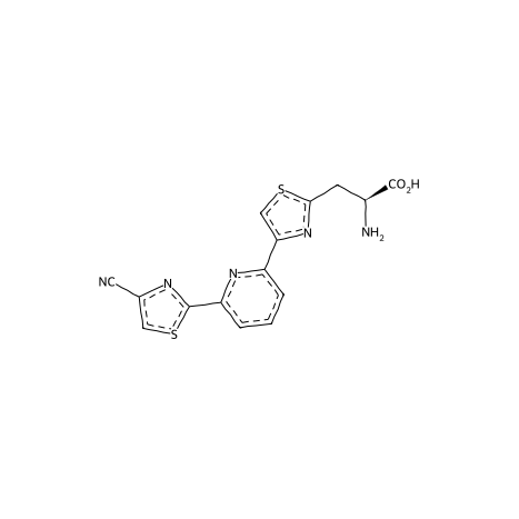 N#Cc1csc(-c2cccc(-c3csc(C[C@H](N)C(=O)O)n3)n2)n1